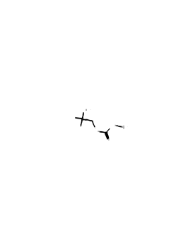 CCCCC(C)(C)COC(=O)OC(C)C